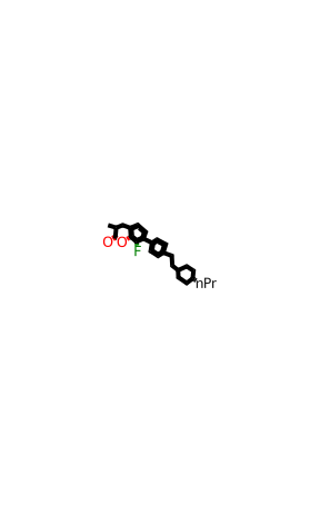 CCCC1CCC(CCc2ccc(-c3ccc4c(c3F)OC(=O)C(C)C4)cc2)CC1